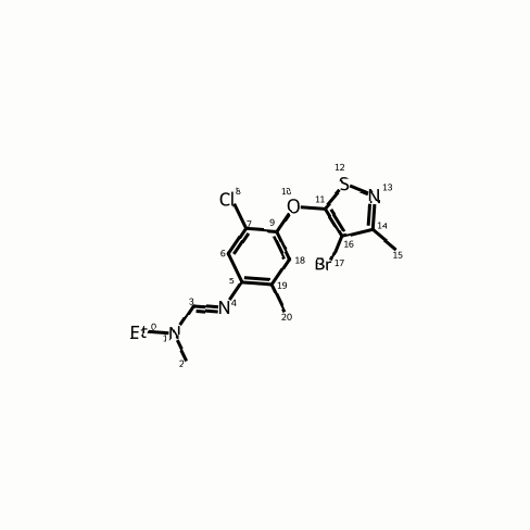 CCN(C)C=Nc1cc(Cl)c(Oc2snc(C)c2Br)cc1C